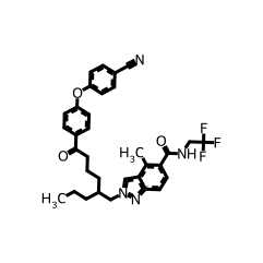 CCCC(CCCC(=O)c1ccc(Oc2ccc(C#N)cc2)cc1)Cn1cc2c(C)c(C(=O)NCC(F)(F)F)ccc2n1